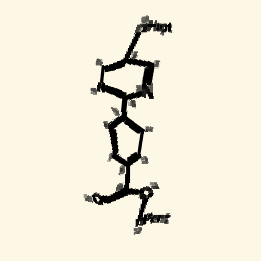 CCCCCCCc1cnc(-c2ccc(C(=O)OCCCCC)cc2)nc1